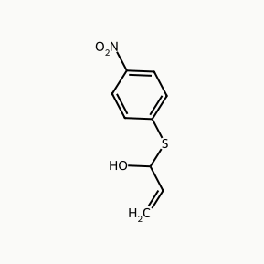 C=CC(O)Sc1ccc([N+](=O)[O-])cc1